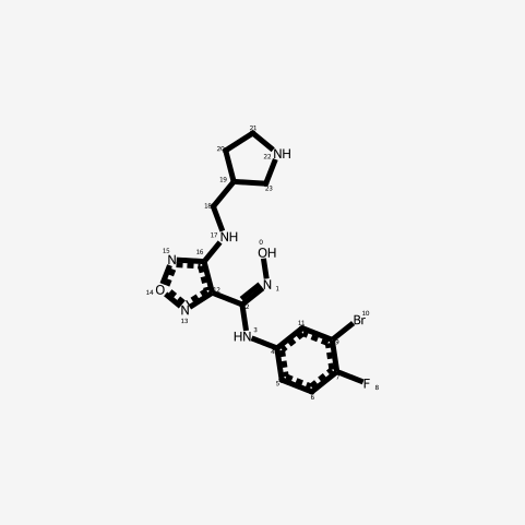 ON=C(Nc1ccc(F)c(Br)c1)c1nonc1NCC1CCNC1